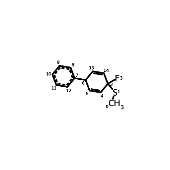 CSC1(F)C=CC(c2ccccc2)C=C1